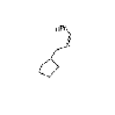 CCC/C=[C]\CC1CCCC1